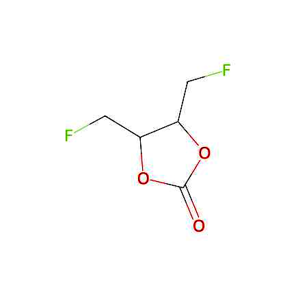 O=C1OC(CF)C(CF)O1